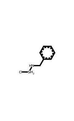 Cl[SiH2]NCc1ccccc1